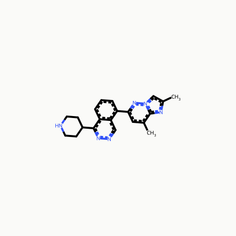 Cc1cn2nc(-c3cccc4c(C5CCNCC5)nncc34)cc(C)c2n1